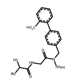 CCCCCN(Cc1ccc(-c2ccccc2C(=O)O)cc1)C(=O)CNC(=O)C(S)C(C)CC